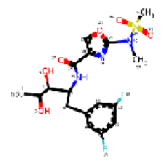 CCCCC(O)C(O)C(Cc1cc(F)cc(F)c1)NC(=O)c1coc(N(C)S(C)(=O)=O)n1